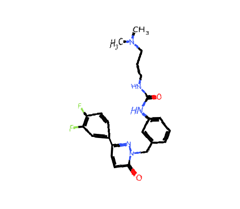 CN(C)CCCNC(=O)Nc1cccc(Cn2nc(-c3ccc(F)c(F)c3)ccc2=O)c1